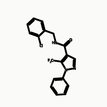 O=C(NCc1ccccc1Cl)c1cnn(-c2ccccc2)c1C(F)(F)F